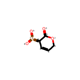 O=C1OCC=CC1=S(=O)=O